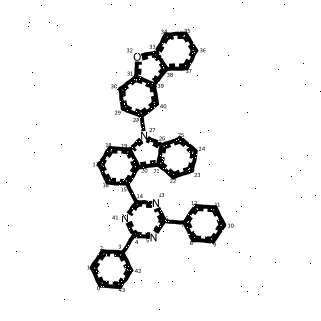 c1ccc(-c2nc(-c3ccccc3)nc(-c3cccc4c3c3ccccc3n4-c3ccc4oc5ccccc5c4c3)n2)cc1